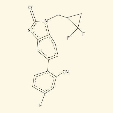 N#Cc1cc(F)ccc1-c1ccc2c(c1)sc(=O)n2CC1CC1(F)F